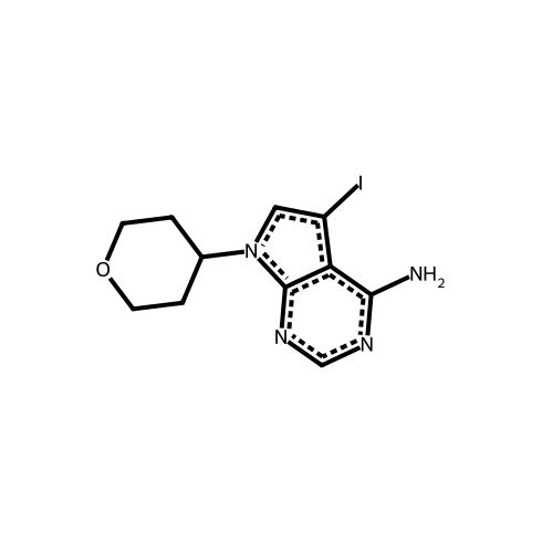 Nc1ncnc2c1c(I)cn2C1CCOCC1